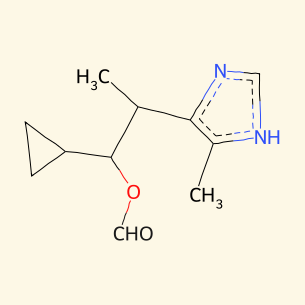 Cc1[nH]cnc1C(C)C(OC=O)C1CC1